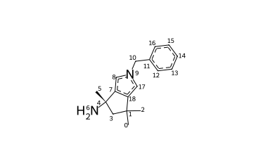 CC1(C)C[C@](C)(N)c2cn(Cc3ccccc3)cc21